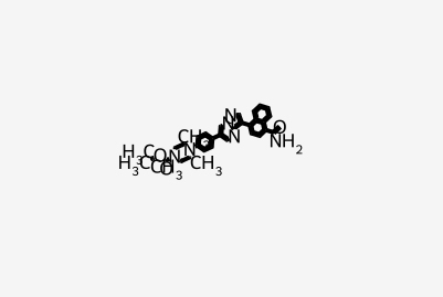 C[C@@H]1CN(C(=O)OC(C)(C)C)C[C@H](C)N1c1ccc(-c2cnc3c(-c4ccc(C(N)=O)c5ccccc45)cnn3c2)cc1